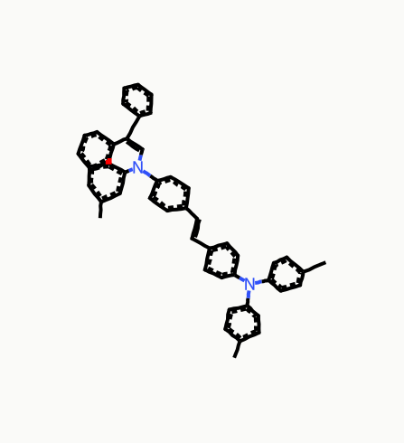 Cc1ccc(N(c2ccc(C)cc2)c2ccc(/C=C/c3ccc(N(C=C(c4ccccc4)c4ccccc4)c4cccc(C)c4)cc3)cc2)cc1